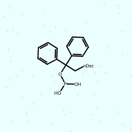 CCCCCCCCCCCC(OP(O)O)(c1ccccc1)c1ccccc1